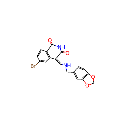 O=C1NC(=O)c2ccc(Br)cc2C1=CNCc1ccc2c(c1)OCO2